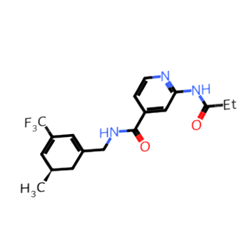 CCC(=O)Nc1cc(C(=O)NCC2=CC(C(F)(F)F)=C[C@H](C)C2)ccn1